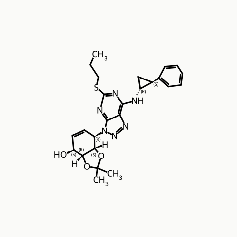 CCCSc1nc(N[C@@H]2C[C@H]2c2ccccc2)c2nnn([C@@H]3C=C[C@H](O)[C@H]4OC(C)(C)O[C@H]43)c2n1